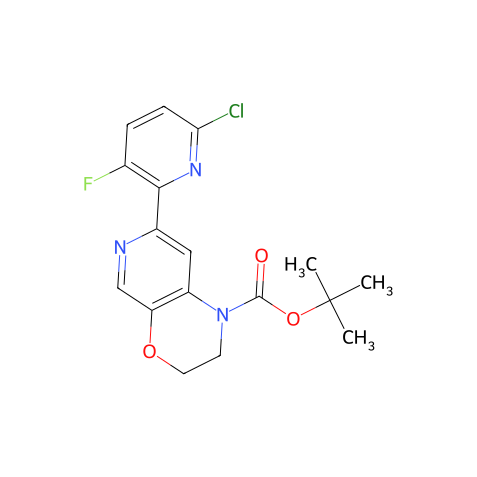 CC(C)(C)OC(=O)N1CCOc2cnc(-c3nc(Cl)ccc3F)cc21